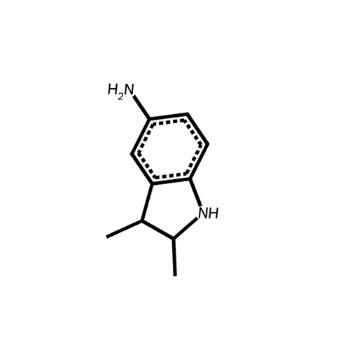 CC1Nc2ccc(N)cc2C1C